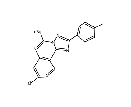 CCCCc1nc2cc(Cl)ccc2c2nc(-c3ccc(C)cc3)nn12